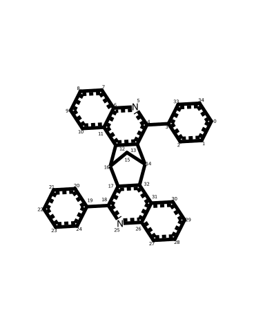 c1ccc(-c2nc3ccccc3c3c2C2CC3c3c(-c4ccccc4)nc4ccccc4c32)cc1